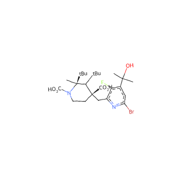 CC(C)(O)c1cc(Br)nc(C[C@]2(C(=O)O)CCN(C(=O)O)[C@@](C)(C(C)(C)C)C2C(C)(C)C)c1F